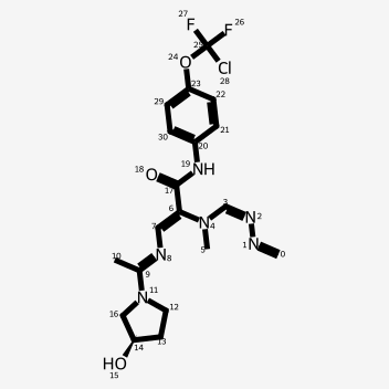 C=N/N=C\N(C)/C(=C\N=C(/C)N1CC[C@@H](O)C1)C(=O)Nc1ccc(OC(F)(F)Cl)cc1